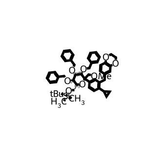 COCC1(c2ccc(C3CC3)c(Cc3ccc4c(c3)OCCO4)c2)O[C@H](CO[Si](C)(C)C(C)(C)C)[C@@H](OCc2ccccc2)[C@H](OCc2ccccc2)[C@H]1OCc1ccccc1